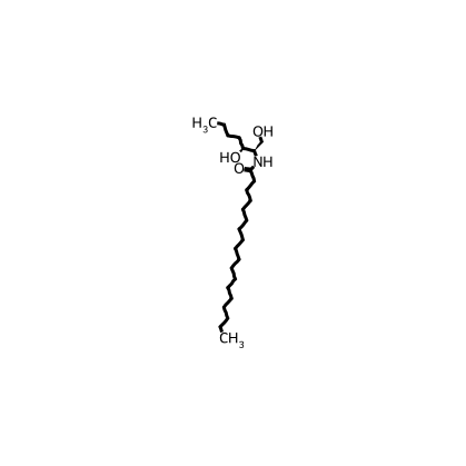 CCCCCCCCCCCCCCCCCC(=O)N[C@H](CO)[C@@H](O)CCCC